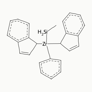 C[SiH2][Zr]([c]1ccccc1)([CH]1C=Cc2ccccc21)[CH]1C=Cc2ccccc21